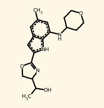 Cc1cc(NC2CCOCC2)c2[nH]c(C3=NC(C(C)O)CO3)cc2c1